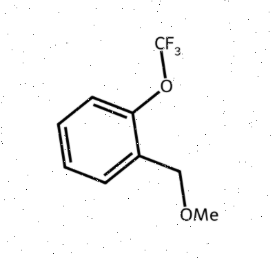 COCc1ccccc1OC(F)(F)F